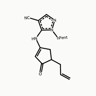 C=CCC1CC(Nc2c(C#N)cnn2CCCCC)=CC1=O